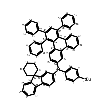 CC(C)(C)c1ccc(N(c2ccc3c(c2)C2(CCCCC2)c2ccccc2-3)c2ccc3c(c2)c2ccccc2c2c(-c4ccccc4)cc(-c4ccccc4)c(-c4ccccc4)c32)cc1